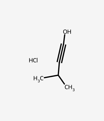 CC(C)C#CO.Cl